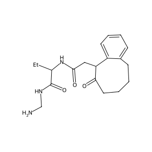 CCC(NC(=O)CC1C(=O)CCCCc2ccccc21)C(=O)NCN